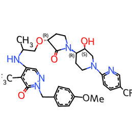 COc1ccc(Cn2ncc(NC(C)CO[C@@H]3CCN([C@@H]4CCN(c5ccc(C(F)(F)F)cn5)C[C@@H]4O)C3=O)c(C(F)(F)F)c2=O)cc1